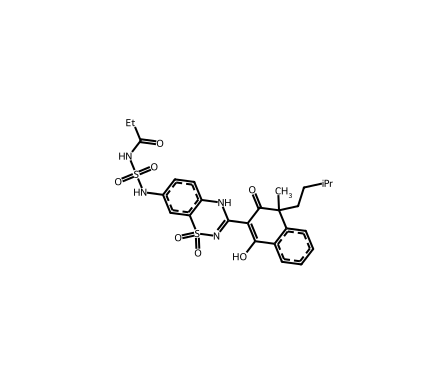 CCC(=O)NS(=O)(=O)Nc1ccc2c(c1)S(=O)(=O)N=C(C1=C(O)c3ccccc3C(C)(CCC(C)C)C1=O)N2